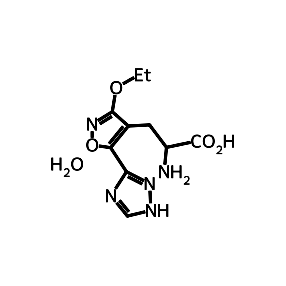 CCOc1noc(-c2nc[nH]n2)c1CC(N)C(=O)O.O